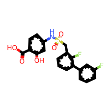 O=C(O)c1ccc(NS(=O)(=O)Cc2cccc(-c3cccc(F)c3)c2F)cc1O